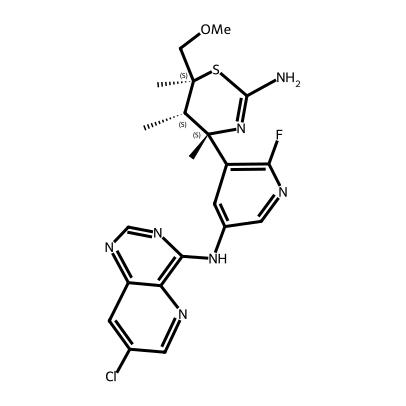 COC[C@@]1(C)SC(N)=N[C@](C)(c2cc(Nc3ncnc4cc(Cl)cnc34)cnc2F)[C@@H]1C